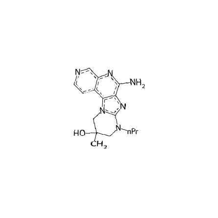 CCCN1CC(C)(O)Cn2c1nc1c(N)nc3cnccc3c12